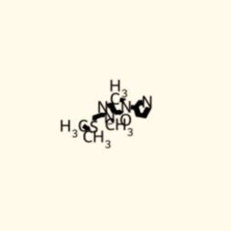 CCN(C(=O)c1cnc(CSC(C)C)n1C)c1cccnc1